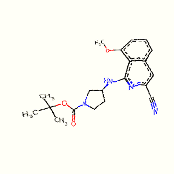 COc1cccc2cc(C#N)nc(N[C@H]3CCN(C(=O)OC(C)(C)C)C3)c12